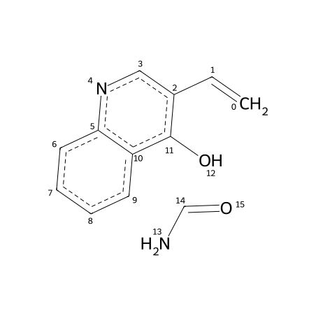 C=Cc1cnc2ccccc2c1O.NC=O